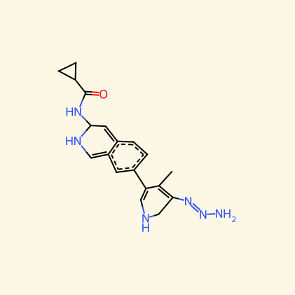 CC1=C(N=NN)CNC=C1c1ccc2c(c1)=CNC(NC(=O)C1CC1)C=2